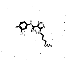 COCCCNc1nonc1C(=N)Nc1ccc(F)c(C(F)(F)F)c1